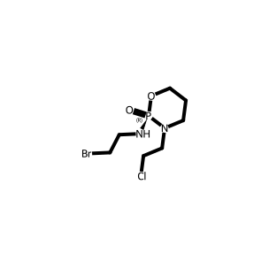 O=[P@]1(NCCBr)OCCCN1CCCl